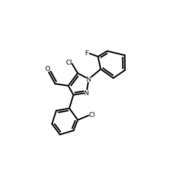 O=Cc1c(-c2ccccc2Cl)nn(-c2ccccc2F)c1Cl